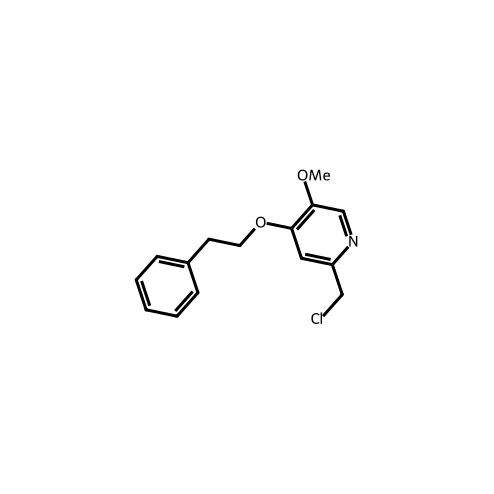 COc1cnc(CCl)cc1OCCc1ccccc1